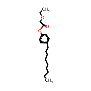 CCCCCCCCCc1ccc(OC(=O)COCC)cc1